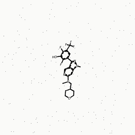 CN(CC1CCOCC1)c1cc2c(cn1)c(-c1cc(C(F)(F)F)c(F)c(O)c1F)nn2C